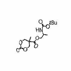 CC(COC(=O)C1(C)COC(=O)OC1)NC(=O)OC(C)(C)C